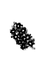 Cc1cc(C)cc(N(c2ccccc2C)c2cc3c(c4ccccc24)-c2c(cc(N(c4cc(C)cc(C)c4)c4ccccc4C)c4ccccc24)C32c3ccccc3-c3ccccc32)c1